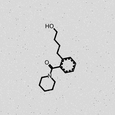 O=C(c1ccccc1CCCCO)N1CCCCC1